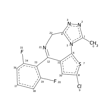 Cc1nnc2n1-c1sc(Cl)cc1C(c1c(F)cccc1F)=NC2